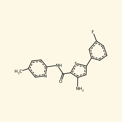 Cc1ccc(NC(=O)c2sc(-c3cccc(F)c3)cc2N)nc1